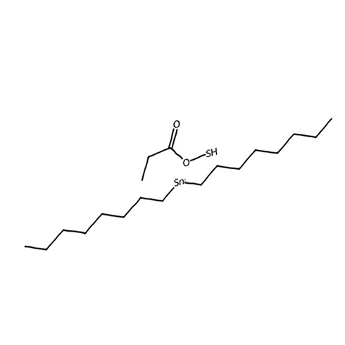 CCC(=O)OS.CCCCCCC[CH2][Sn][CH2]CCCCCCC